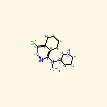 CN(c1nnc(Cl)c2c1CCCC2)[C@@H]1CCCNC1